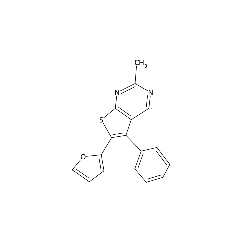 Cc1n[c]c2c(-c3ccccc3)c(-c3ccco3)sc2n1